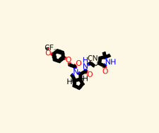 CC1(C)C[C@@H](C[C@@H](C#N)NC(=O)C2[C@H]3CCC[C@H]3CN2C(=O)COc2ccc(OC(F)(F)F)cc2)C(=O)N1